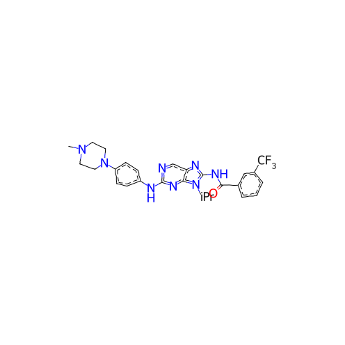 CC(C)n1c(NC(=O)c2cccc(C(F)(F)F)c2)nc2cnc(Nc3ccc(N4CCN(C)CC4)cc3)nc21